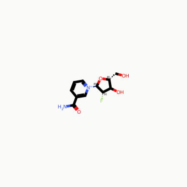 NC(=O)c1ccc[n+]([C@@H]2O[C@H](CO)C(O)[C@@H]2F)c1